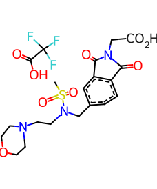 CS(=O)(=O)N(CCN1CCOCC1)Cc1ccc2c(c1)C(=O)N(CC(=O)O)C2=O.O=C(O)C(F)(F)F